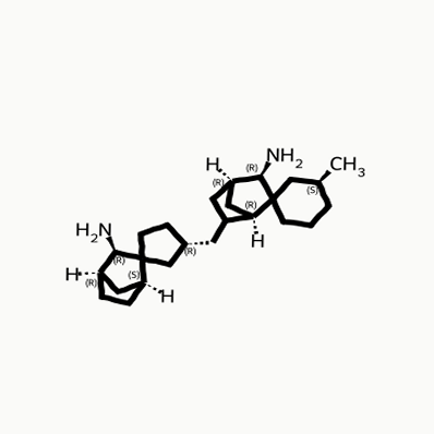 C[C@H]1CCCC2(C1)[C@@H]1C[C@@H](CC1C[C@H]1CCC3(C1)[C@H]1CC[C@H](C1)[C@H]3N)[C@H]2N